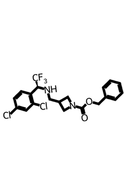 O=C(OCc1ccccc1)N1CC(CN[C@@H](c2ccc(Cl)cc2Cl)C(F)(F)F)C1